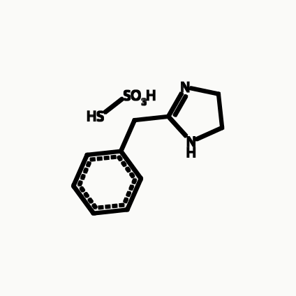 O=S(=O)(O)S.c1ccc(CC2=NCCN2)cc1